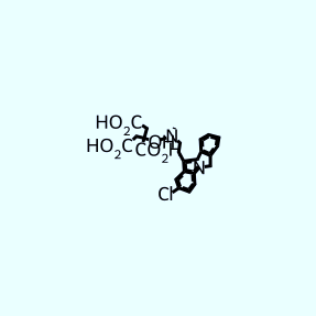 CN(C)CCc1c2n(c3ccc(Cl)cc13)Cc1ccccc1-2.O=C(O)CC(O)(CC(=O)O)C(=O)O